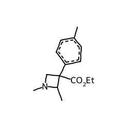 CCOC(=O)C1(c2ccc(C)cc2)CN(C)C1C